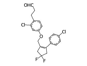 O=CCCc1ccc(OCC2=C(c3ccc(Cl)cc3)CC(F)(F)C2)cc1Cl